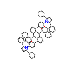 C1=CC(c2ccc(-c3ccccc3)n2-c2ccc(-c3cccc4c(-c5cccc6ccccc56)c5c(-c6ccc(-n7c(-c8ccccc8)ccc7-c7ccccc7)cc6)cccc5c(-c5cccc6ccccc56)c34)cc2)=CCC1